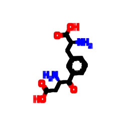 N[C@@H](Cc1cccc(C(=O)[C@@H](N)CC(=O)O)c1)C(=O)O